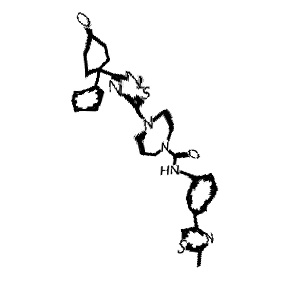 Cc1nc(-c2cccc(NC(=O)N3CCCN(c4nc(C5(c6ccccc6)CCC(=O)CC5)ns4)CC3)c2)cs1